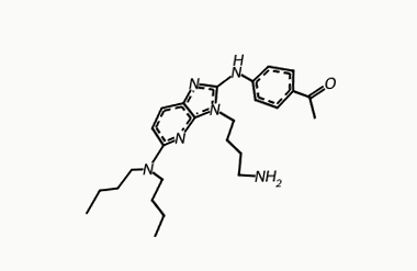 CCCCN(CCCC)c1ccc2nc(Nc3ccc(C(C)=O)cc3)n(CCCCN)c2n1